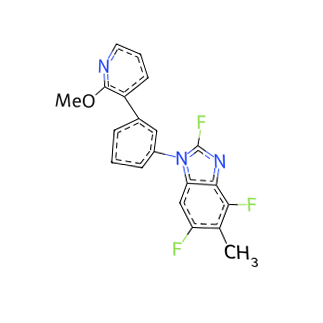 COc1ncccc1-c1cccc(-n2c(F)nc3c(F)c(C)c(F)cc32)c1